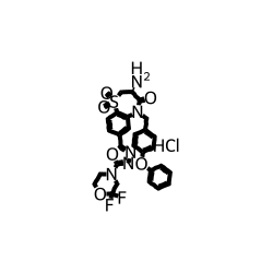 Cl.N[C@H]1CS(=O)(=O)c2ccc(-c3nnc(N4CCOC(F)(F)C4)o3)cc2N(Cc2ccc(Oc3ccccc3)cc2)C1=O